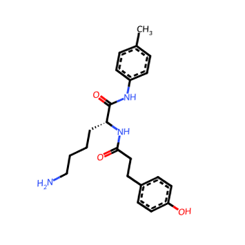 Cc1ccc(NC(=O)[C@@H](CCCCN)NC(=O)CCc2ccc(O)cc2)cc1